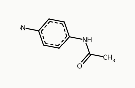 CC(=O)Nc1ccc([N])cc1